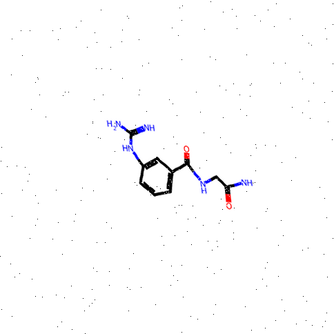 [NH]C(=O)CNC(=O)c1cccc(NC(=N)N)c1